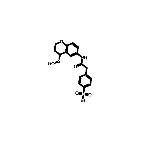 CCS(=O)(=O)c1ccc(CC(=O)Nc2ccc3c(c2)C(SO)CCO3)cc1